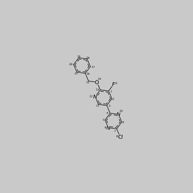 Fc1cc(-c2cnc(Cl)cn2)cnc1OCc1ccccc1